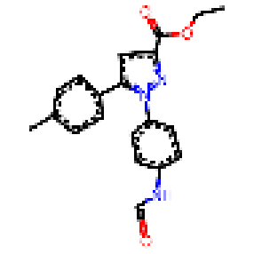 CCOC(=O)c1cc(-c2ccc(C)cc2)n(-c2ccc(NC=O)cc2)n1